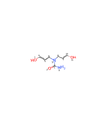 NC(=O)N(CC=CO)CC=CO